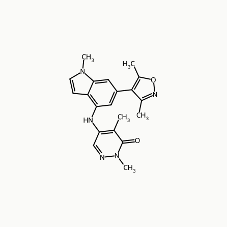 Cc1noc(C)c1-c1cc(Nc2cnn(C)c(=O)c2C)c2ccn(C)c2c1